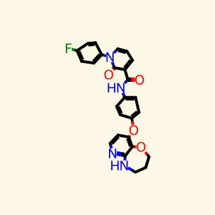 O=C(Nc1ccc(Oc2ccnc3c2OCCCN3)cc1)c1cccn(-c2ccc(F)cc2)c1=O